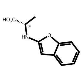 C[C@H](Nc1cc2ccccc2o1)C(=O)O